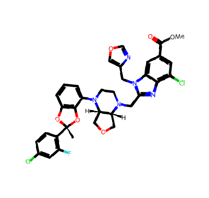 COC(=O)c1cc(Cl)c2nc(CN3CCN(c4cccc5c4O[C@](C)(c4ccc(Cl)cc4F)O5)[C@H]4COC[C@H]43)n(Cc3cocn3)c2c1